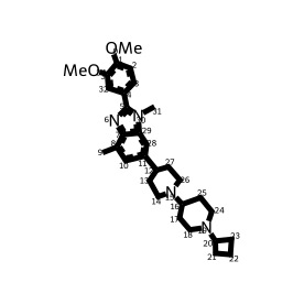 COc1ccc(-c2nc3c(C)cc(C4CCN(C5CCN(C6CCC6)CC5)CC4)cc3n2C)cc1OC